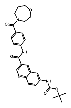 CC(C)(C)OC(=O)Nc1ccc2ncc(C(=O)Nc3ccc(C(=O)N4CCCOCC4)cc3)cc2c1